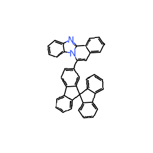 c1ccc2c(c1)-c1ccccc1C21c2ccccc2-c2ccc(-c3cc4ccccc4c4nc5ccccc5n34)cc21